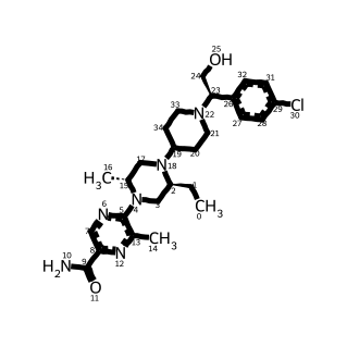 CC[C@H]1CN(c2ncc(C(N)=O)nc2C)[C@H](C)CN1C1CCN([C@@H](CO)c2ccc(Cl)cc2)CC1